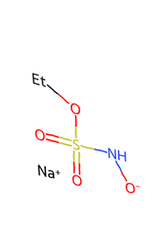 CCOS(=O)(=O)N[O-].[Na+]